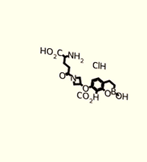 Cl.NC(CCC(=O)N1CC(Oc2ccc3c(c2C(=O)O)OB(O)CC3)C1)C(=O)O